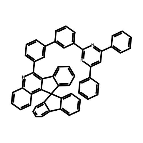 c1ccc(-c2cc(-c3ccccc3)nc(-c3cccc(-c4cccc(-c5nc6ccccc6c6c5-c5ccccc5C65c6ccccc6-c6ccccc65)c4)c3)n2)cc1